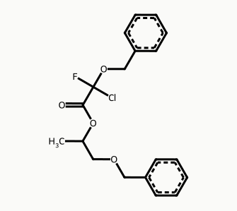 CC(COCc1ccccc1)OC(=O)C(F)(Cl)OCc1ccccc1